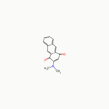 CN(C)C1=CC(=O)c2cc3ccccc3cc2C1=O